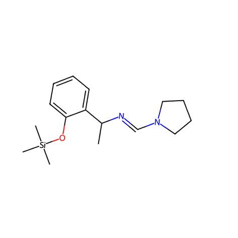 CC(N=CN1CCCC1)c1ccccc1O[Si](C)(C)C